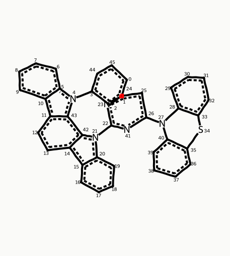 c1ccc(-n2c3ccccc3c3ccc4c5ccccc5n(-c5nccc(N6c7ccccc7Sc7ccccc76)n5)c4c32)cc1